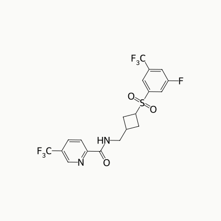 O=C(NCC1CC(S(=O)(=O)c2cc(F)cc(C(F)(F)F)c2)C1)c1ccc(C(F)(F)F)cn1